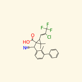 Cc1c(-c2ccccc2)cccc1C(C#N)C1(C(=O)O)C(C=C(Cl)C(F)(F)F)C1(C)C